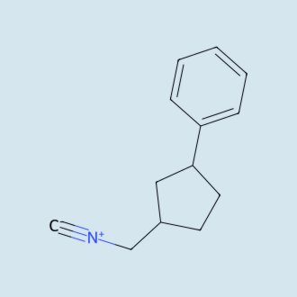 [C-]#[N+]CC1CCC(c2ccccc2)C1